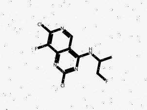 CC(CF)Nc1nc(Cl)nc2c(F)c(Cl)ncc12